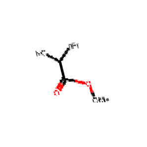 CCCC(C#N)C(=O)OOC